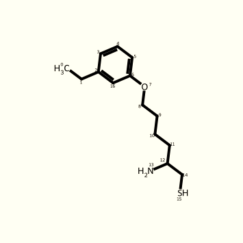 CCc1cccc(OCCCCC(N)CS)c1